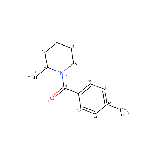 CC(C)(C)C1CCCCN1C(=O)c1ccc(C(F)(F)F)cc1